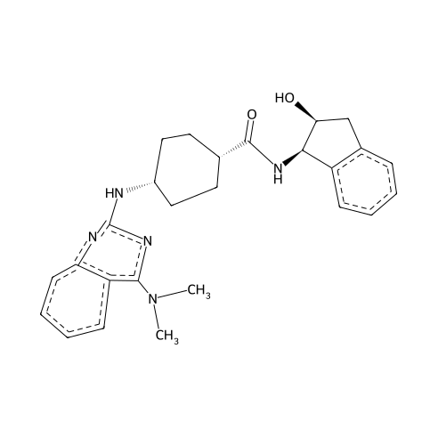 CN(C)c1nc(N[C@H]2CC[C@@H](C(=O)N[C@@H]3c4ccccc4C[C@@H]3O)CC2)nc2ccccc12